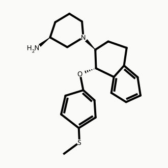 CSc1ccc(O[C@H]2c3ccccc3CC[C@@H]2N2CCC[C@H](N)C2)cc1